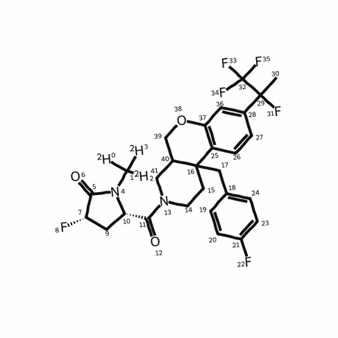 [2H]C([2H])([2H])N1C(=O)[C@@H](F)C[C@H]1C(=O)N1CCC2(Cc3ccc(F)cc3)c3ccc(C(C)(F)C(F)(F)F)cc3OCC2C1